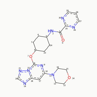 O=C(NC1CCC(Oc2nc(N3CCOCC3)cc3ncnn23)CC1)c1ncccn1